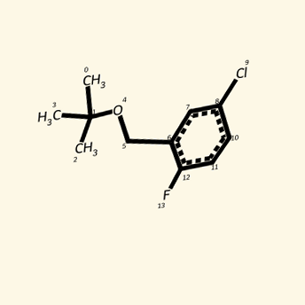 CC(C)(C)OCc1cc(Cl)ccc1F